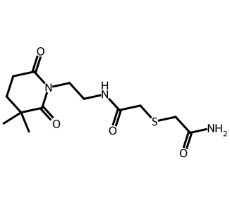 CC1(C)CCC(=O)N(CCNC(=O)CSCC(N)=O)C1=O